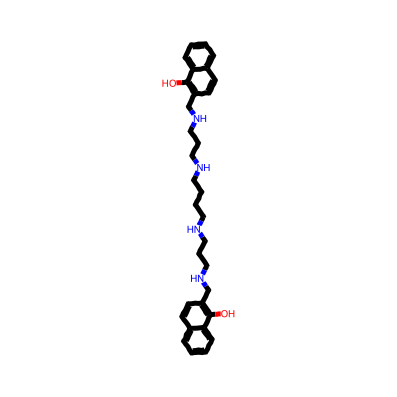 Oc1c(CNCCCNCCCCNCCCNCc2ccc3ccccc3c2O)ccc2ccccc12